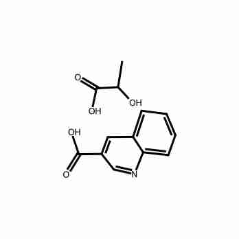 CC(O)C(=O)O.O=C(O)c1cnc2ccccc2c1